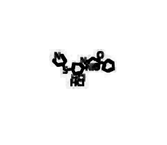 Cl.Cl.O=S(=O)(Cc1nc2cc(Sc3ccncc3)ccc2[nH]1)c1ccccc1